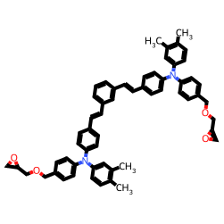 Cc1ccc(N(c2ccc(C=Cc3cccc(C=Cc4ccc(N(c5ccc(COCC6CO6)cc5)c5ccc(C)c(C)c5)cc4)c3)cc2)c2ccc(COCC3=CO3)cc2)cc1C